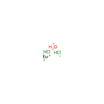 Cl.Cl.O.[Eu]